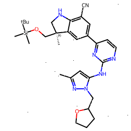 Cc1cc(Nc2nccc(-c3cc(C#N)c4c(c3)[C@@](C)(CO[Si](C)(C)C(C)(C)C)CN4)n2)n(CC2CCCO2)n1